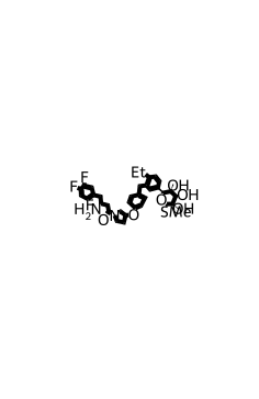 CCc1ccc([C@@H]2O[C@H](SC)[C@@H](O)[C@H](O)[C@H]2O)cc1Cc1ccc(OC2CCN(C(=O)CC(N)Cc3cc(F)c(F)cc3F)C2)cc1